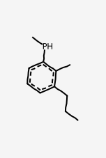 CCCc1cccc(PC)c1C